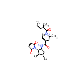 C=C(/C=C\CC)C(=O)NC(C)C/C(=C\CC)C(=O)NC1CC(CC)C(CC)[C@H]1N1C(=O)C=CC1=O